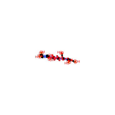 COc1cc(N=Nc2ccc(N=Nc3ccc4cc(OCCCS(=O)(=O)O)cc(S(=O)(=O)O)c4c3)cc2OCCCS(=O)(=O)O)c(OC)cc1N=Nc1cc(OC)c(N=Nc2c(S(=O)(=O)O)cc3cc(-n4nc5ccc6c(S(=O)(=O)O)cc(S(=O)(=O)O)cc6c5n4)ccc3c2O)cc1OC